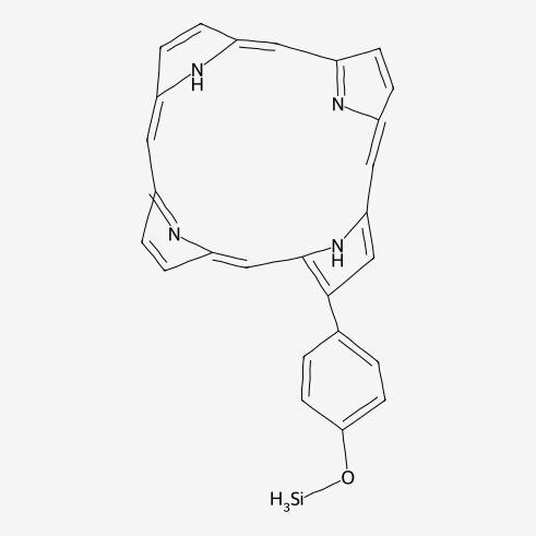 [SiH3]Oc1ccc(-c2cc3cc4nc(cc5ccc(cc6nc(cc2[nH]3)C=C6)[nH]5)C=C4)cc1